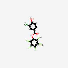 O=C(Oc1c(F)c(F)c(F)c(F)c1F)c1ccc(O)c(Cl)c1